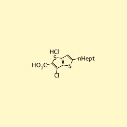 CCCCCCCc1cc2sc(C(=O)O)c(Cl)c2s1.Cl